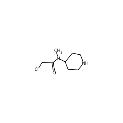 CN(C(=O)CCl)C1CCNCC1